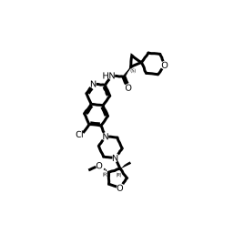 CO[C@H]1COC[C@@]1(C)N1CCN(c2cc3cc(NC(=O)[C@H]4CC45CCOCC5)ncc3cc2Cl)CC1